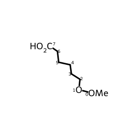 COOCCCCCC(=O)O